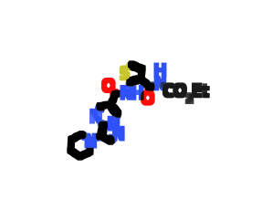 CCOC(=O)NC(=O)c1ccsc1NC(=O)c1cnc2c(N3CCCCC3)cnn2c1